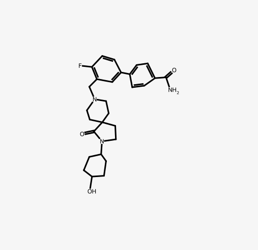 NC(=O)c1ccc(-c2ccc(F)c(CN3CCC4(CC3)CCN(C3CCC(O)CC3)C4=O)c2)cc1